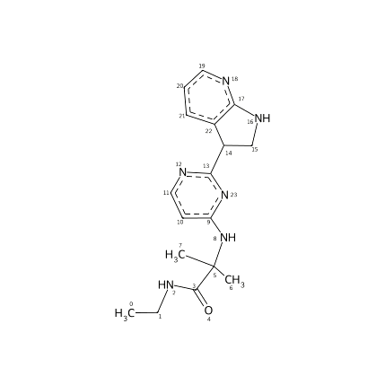 CCNC(=O)C(C)(C)Nc1ccnc(C2CNc3ncccc32)n1